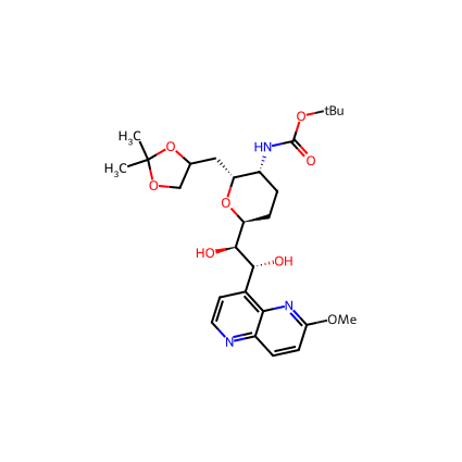 COc1ccc2nccc([C@@H](O)[C@@H](O)[C@@H]3CC[C@@H](NC(=O)OC(C)(C)C)[C@@H](CC4COC(C)(C)O4)O3)c2n1